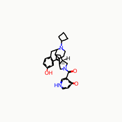 O=C(c1c[nH]ccc1=O)N1C[C@H]2CC34CCCC2(C1)C31CCN(C2CCC2)C4Cc2ccc(O)cc21